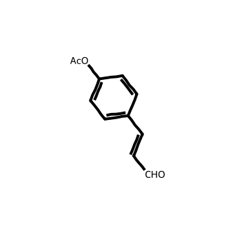 CC(=O)Oc1ccc(/C=C/C=O)cc1